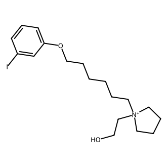 OCC[N+]1(CCCCCCOc2cccc(I)c2)CCCC1